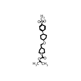 CC(C)OC(=O)N1CCC(CO[C@H]2CC[C@H](c3ccc(S(C)(=O)=O)cc3)CC2)CC1